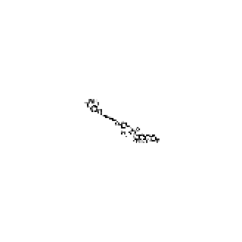 C[C@H](N)Cc1ccc(OCC#CC#CCOc2ccc(C[C@H](N)C(=O)N3CC(C)(C)c4[nH]c(=O)c(Cc5ccc(F)cc5)cc43)cc2)cc1